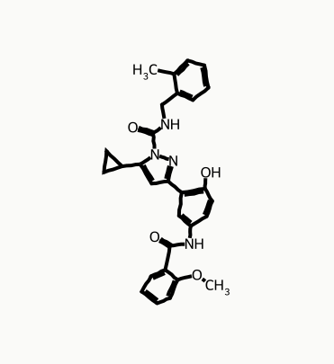 COc1ccccc1C(=O)Nc1ccc(O)c(-c2cc(C3CC3)n(C(=O)NCc3ccccc3C)n2)c1